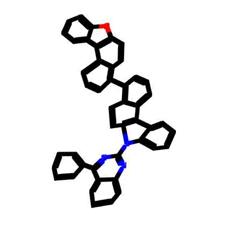 c1ccc(-c2nc(-n3c4ccccc4c4c5cccc(-c6cccc7c6ccc6oc8ccccc8c67)c5ccc43)nc3ccccc23)cc1